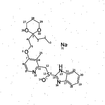 CCCC1(CCOc2ccnc(C[S+]([O-])c3nc4ccccc4[nH]3)c2C)OCCCO1.[Na]